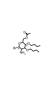 CCCCOC1C(N)[C@@H](Br)OC(COC(C)=O)[C@H]1OCCCC